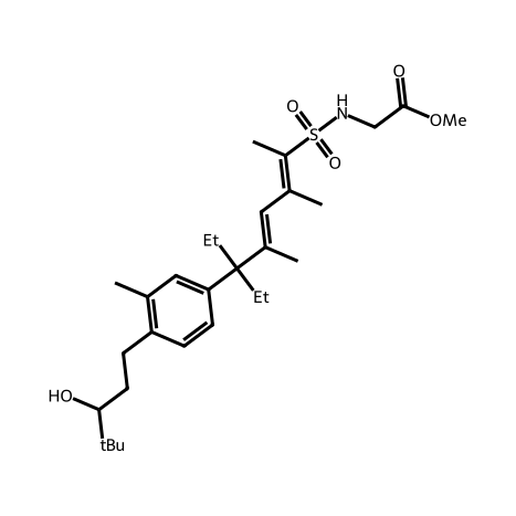 CCC(CC)(/C(C)=C/C(C)=C(\C)S(=O)(=O)NCC(=O)OC)c1ccc(CCC(O)C(C)(C)C)c(C)c1